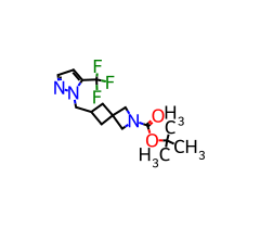 CC(C)(C)OC(=O)N1CC2(CC(Cn3nccc3C(F)(F)F)C2)C1